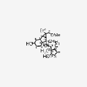 CCC1(COC)C2C3CC(O)C=C[C@]3(C)[C@](C)(CC[C@]3(C)C(O)CC[C@H]3C)C21